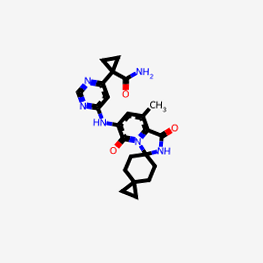 Cc1cc(Nc2cc(C3(C(N)=O)CC3)ncn2)c(=O)n2c1C(=O)NC21CCC2(CC2)CC1